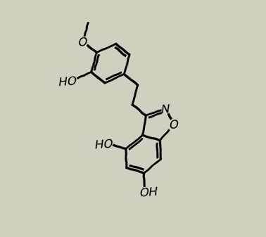 COc1ccc(CCc2noc3cc(O)cc(O)c23)cc1O